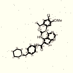 COc1cc(N2C(=O)Nc3c(C(=O)Nc4ccc(CN5CCCCC5)cc4)sc4ncnc2c34)c(CI)cc1Cl